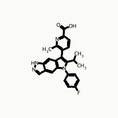 Cc1nc(C(=O)O)ccc1-c1c(C(C)C)n(-c2ccc(F)cc2)c2cc3cn[nH]c3cc12